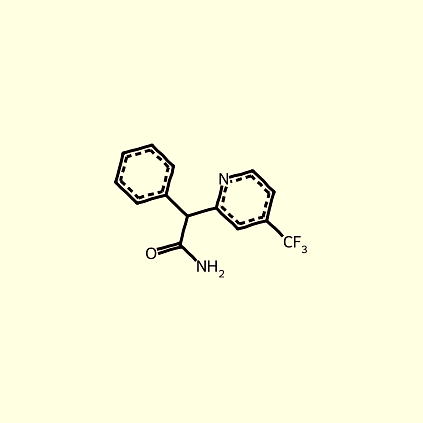 NC(=O)C(c1ccccc1)c1cc(C(F)(F)F)ccn1